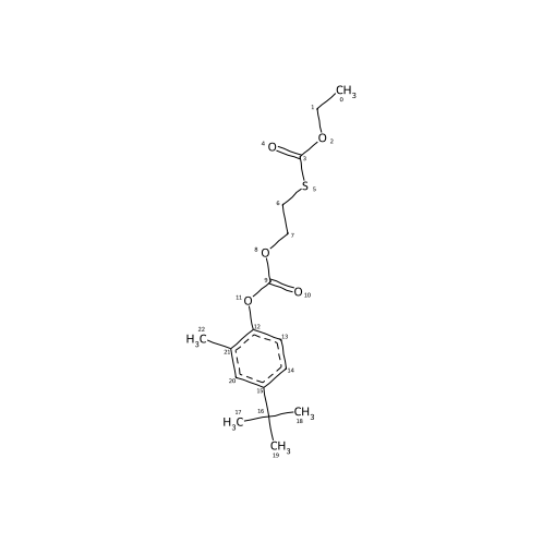 CCOC(=O)SCCOC(=O)Oc1ccc(C(C)(C)C)cc1C